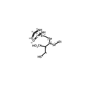 CC[Se]N([Se]CC)C(CS)C(=O)O.N=C=O.N=C=O